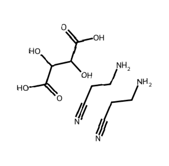 N#CCCN.N#CCCN.O=C(O)C(O)C(O)C(=O)O